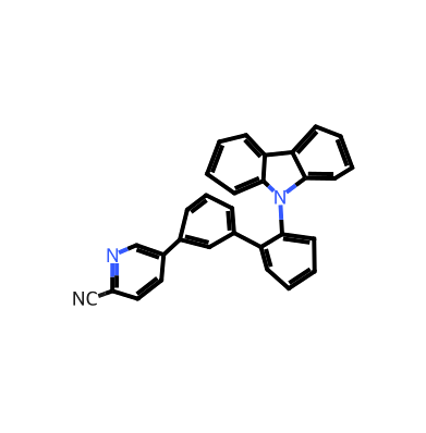 N#Cc1ccc(-c2cccc(-c3ccccc3-n3c4ccccc4c4ccccc43)c2)cn1